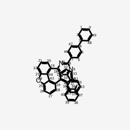 c1ccc(-c2ccc(-c3nc(-c4ccccc4)nc(-c4cccc5oc6cccc(-c7cccc8sc9ccccc9c78)c6c45)n3)cc2)cc1